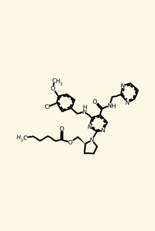 CCCCCC(=O)OC[C@@H]1CCCN1c1ncc(C(=O)NCc2ncccn2)c(NCc2ccc(OC)c(Cl)c2)n1